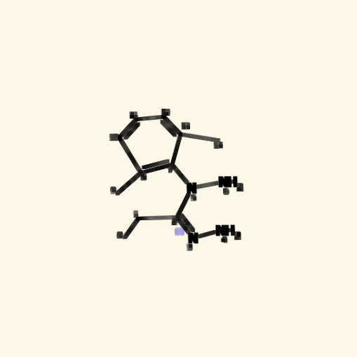 CC/C(=N/N)N(N)c1c(C)cccc1C